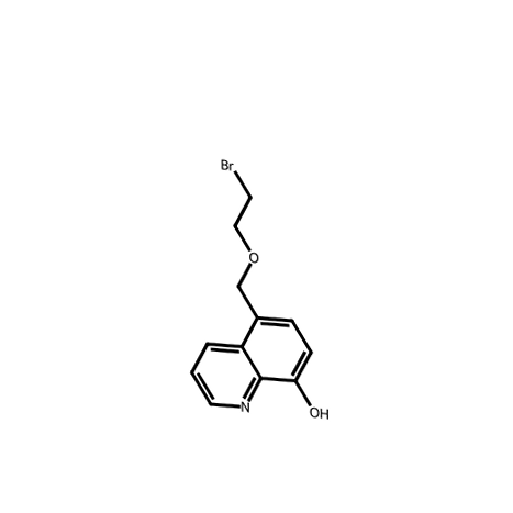 Oc1ccc(COCCBr)c2cccnc12